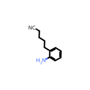 N#CCCCCc1ccccc1N